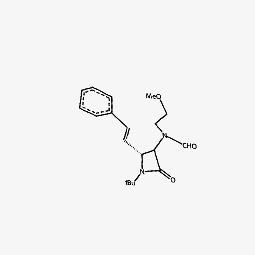 COCCN(C=O)C1C(=O)N(C(C)(C)C)[C@@H]1/C=C/c1ccccc1